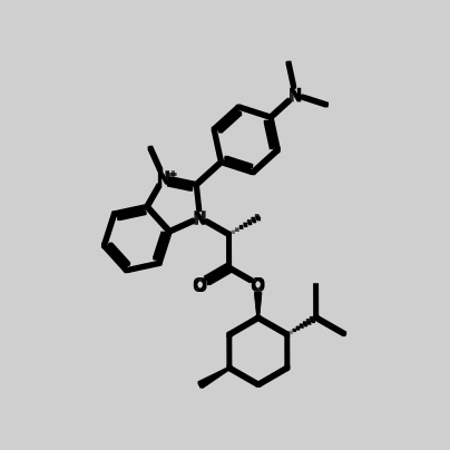 CC(C)[C@@H]1CC[C@@H](C)C[C@H]1OC(=O)[C@@H](C)n1c(-c2ccc(N(C)C)cc2)[n+](C)c2ccccc21